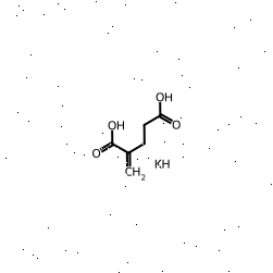 C=C(CCC(=O)O)C(=O)O.[KH]